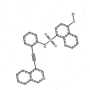 CCOc1ccc(S(=O)(=O)Nc2ccccc2C#Cc2cncc3ccccc23)c2ncccc12